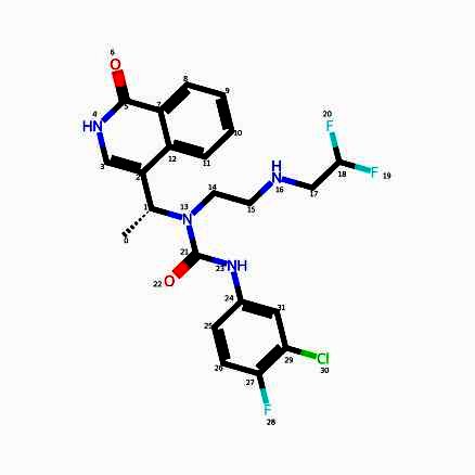 C[C@H](c1c[nH]c(=O)c2ccccc12)N(CCNCC(F)F)C(=O)Nc1ccc(F)c(Cl)c1